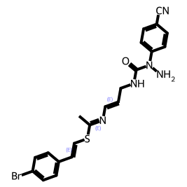 C/C(=N\C=C\CNC(=O)N(N)c1ccc(C#N)cc1)S/C=C/c1ccc(Br)cc1